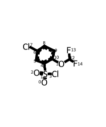 O=S(=O)(Cl)c1cc(Cl)ccc1OC(F)F